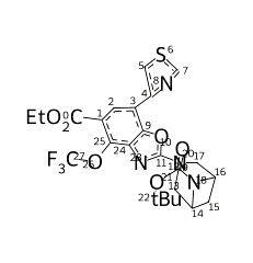 CCOC(=O)c1cc(-c2cscn2)c2oc(N3CC4CC(C3)N4C(=O)OC(C)(C)C)nc2c1OC(F)(F)F